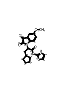 COc1ccc2c(c1)C(=O)C(=O)N2C(CC1CCCC1)C(=O)Nc1nccs1